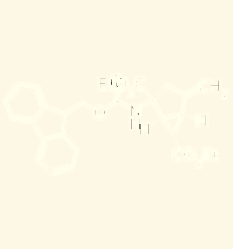 C=C1C[C@@](NC(=O)OCC2c3ccccc3-c3ccccc32)(C(=O)OCC)[C@H]2[C@@H]1[C@@H]2C(=O)OCC